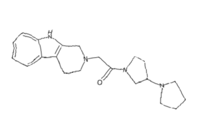 O=C(CN1CCc2c([nH]c3ccccc23)C1)N1CCC(N2CCCC2)C1